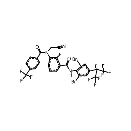 N#CCN(C(=O)c1ccc(C(F)(F)F)cc1)c1cccc(C(=O)Nc2c(Br)cc(C(F)(C(F)(F)F)C(F)(F)F)cc2Br)c1F